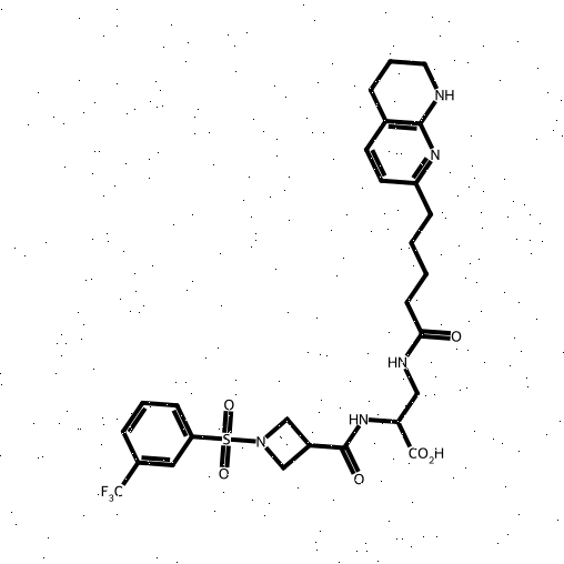 O=C(CCCCc1ccc2c(n1)NCCC2)NCC(NC(=O)C1CN(S(=O)(=O)c2cccc(C(F)(F)F)c2)C1)C(=O)O